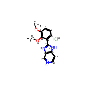 COc1cccc(-c2nc3cnccc3[nH]2)c1OC.Cl